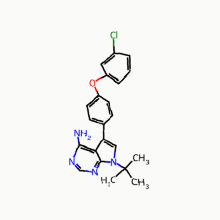 CC(C)(C)n1cc(-c2ccc(Oc3cccc(Cl)c3)cc2)c2c(N)ncnc21